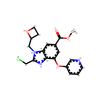 COC(=O)c1cc(Oc2cccnc2)c2nc(CCl)n(CC3CCO3)c2c1